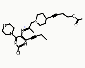 CCC#Cc1nc(Cl)nc(N2CCOCC2)c1/N=C(\C)CN1CCC(C#CCCOC(C)=O)CC1